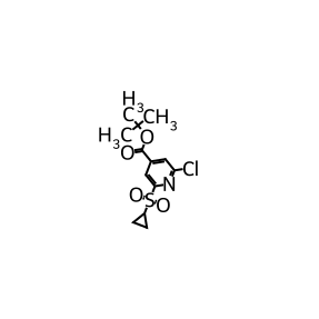 CC(C)(C)OC(=O)c1cc(Cl)nc(S(=O)(=O)C2CC2)c1